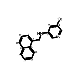 Brc1cncc(NCc2cccc3ccccc23)c1